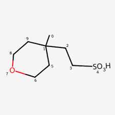 CC1(CCS(=O)(=O)O)CCOCC1